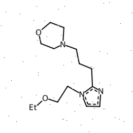 CCOCCn1ccnc1CCCN1CCOCC1